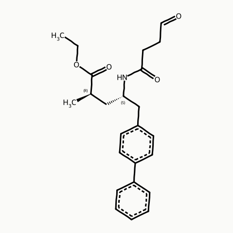 CCOC(=O)[C@H](C)C[C@@H](Cc1ccc(-c2ccccc2)cc1)NC(=O)CCC=O